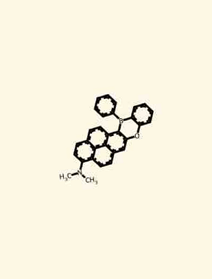 CN(C)c1ccc2ccc3c4c(cc5ccc1c2c53)Oc1ccccc1B4c1ccccc1